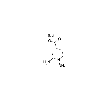 CC(C)(C)OC(=O)C1CCN(N)C(N)C1